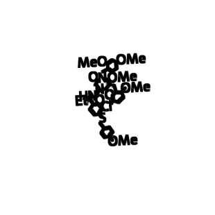 CC[C@@H](NC(=O)N1CC(=O)N(Cc2c(OC)cc(OC)cc2OC)C[C@@H](Cc2cc(Cl)ccc2OC)C1=O)c1ccc(SCc2ccc(OC)cc2)cc1